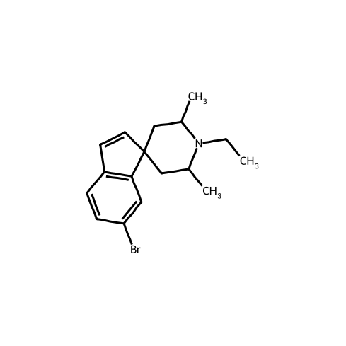 CCN1C(C)CC2(C=Cc3ccc(Br)cc32)CC1C